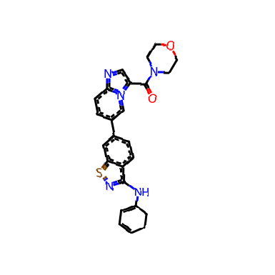 O=C(c1cnc2ccc(-c3ccc4c(NC5=CC=CCC5)nsc4c3)cn12)N1CCOCC1